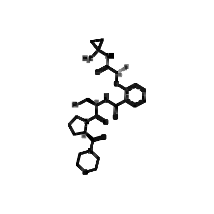 CC(C)C[C@@H](NC(=O)c1ccccc1O[C@@H](F)C(=O)NC1(C)CC1)C(=O)N1CCC[C@@H]1C(=O)N1CCOCC1